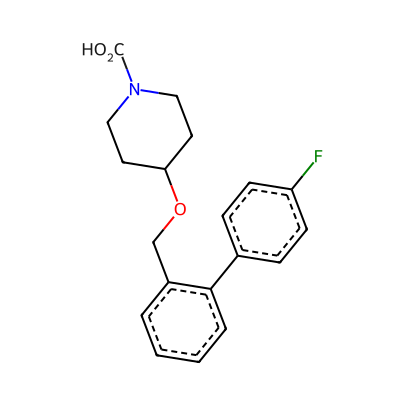 O=C(O)N1CCC(OCc2ccccc2-c2ccc(F)cc2)CC1